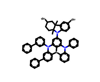 CC(C)(C)c1ccc2c(c1)C1(C)CC(C(C)(C)C)CCC1(C)N2c1cc2c3c(c1)N(c1cccc(-c4ccccc4)c1)c1cc(-c4ccccc4)ccc1B3c1ccccc1N2c1ccccc1